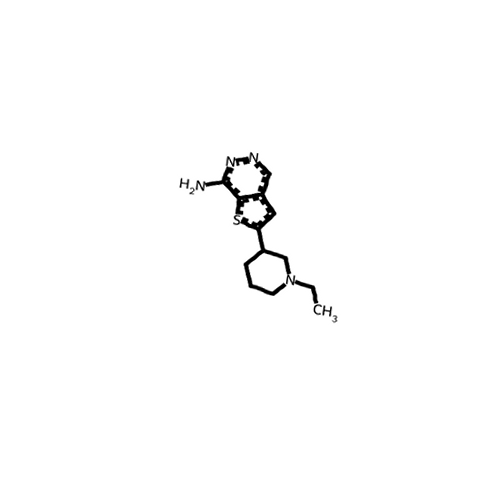 CCN1CCCC(c2cc3cnnc(N)c3s2)C1